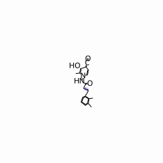 CC1=C(O)C(=C=O)C=CN1NC(=O)/C=C/c1cccc(C)c1C